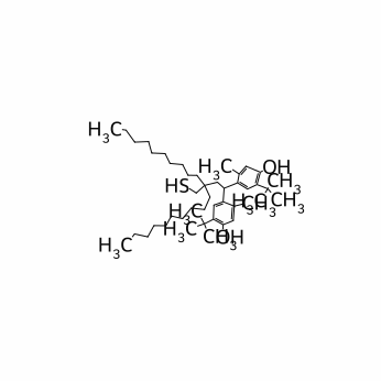 CCCCCCCCCCC(CS)(CCCCCCCCCC)CC(c1cc(C(C)(C)C)c(O)cc1C)c1cc(C(C)(C)C)c(O)cc1C